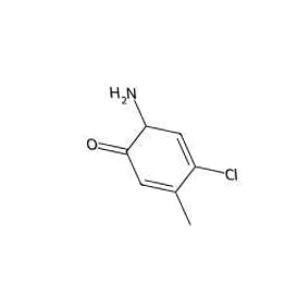 CC1=CC(=O)C(N)C=C1Cl